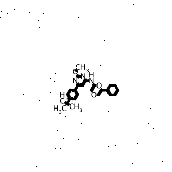 COc1nc(NC2=COC=C(C3=CC=CCC3)O2)cc(-c2ccc(C(C)(C)C)cc2)n1